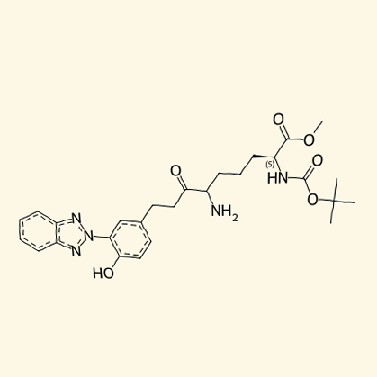 COC(=O)[C@H](CCCC(N)C(=O)CCc1ccc(O)c(-n2nc3ccccc3n2)c1)NC(=O)OC(C)(C)C